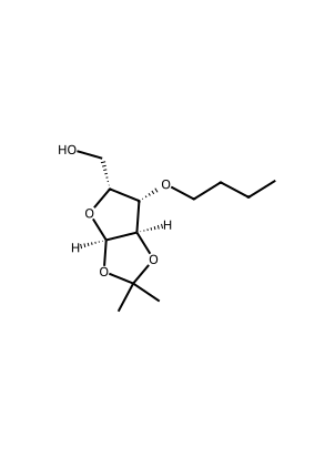 CCCCO[C@@H]1[C@H]2OC(C)(C)O[C@H]2O[C@@H]1CO